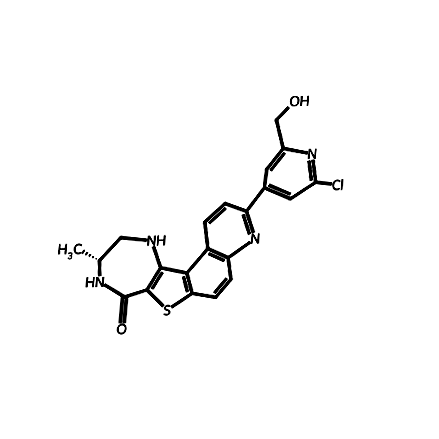 C[C@@H]1CNc2c(sc3ccc4nc(-c5cc(Cl)nc(CO)c5)ccc4c23)C(=O)N1